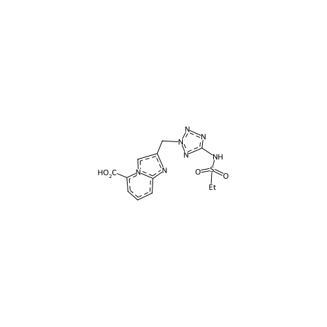 CCS(=O)(=O)Nc1nnn(Cc2cn3c(C(=O)O)cccc3n2)n1